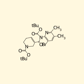 Cc1cc(Br)c(N(C(=O)OC(C)(C)C)C(=O)C2=CCCN(C(=O)OC(C)(C)C)C2)nc1C